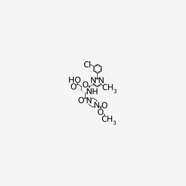 CCOC(=O)N1CCN(C(=O)[C@H](CCC(=O)O)NC(=O)c2cc(C)nc(-c3cccc(Cl)c3)n2)CC1